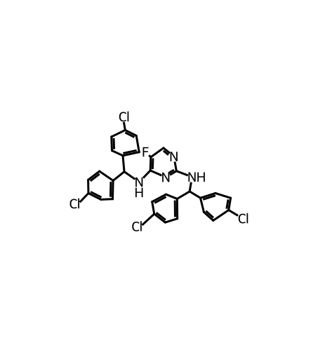 Fc1cnc(NC(c2ccc(Cl)cc2)c2ccc(Cl)cc2)nc1NC(c1ccc(Cl)cc1)c1ccc(Cl)cc1